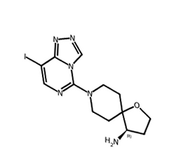 N[C@@H]1CCOC12CCN(c1ncc(I)c3nncn13)CC2